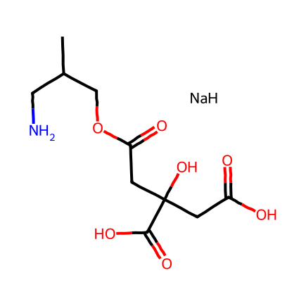 CC(CN)COC(=O)CC(O)(CC(=O)O)C(=O)O.[NaH]